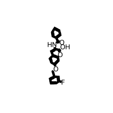 O=C(O)/C(=C\c1ccc(OCc2cccc(F)c2)cc1)NC(=O)c1ccccc1